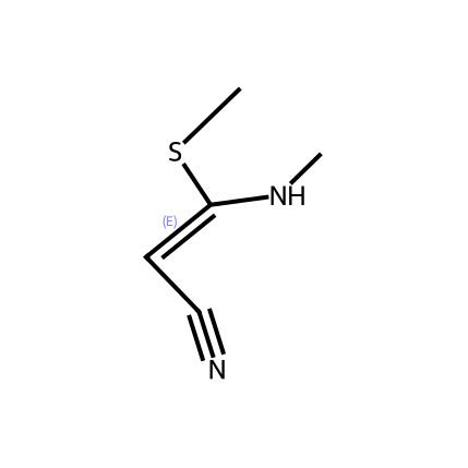 CN/C(=C\C#N)SC